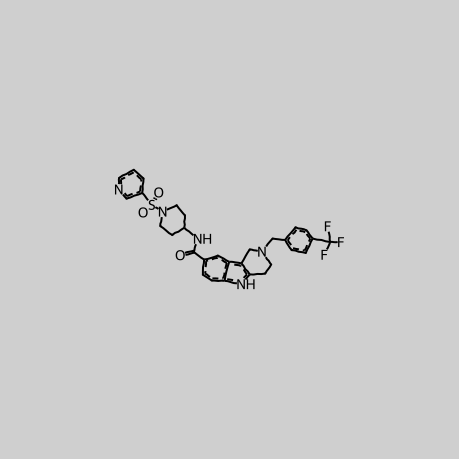 O=C(NC1CCN(S(=O)(=O)c2cccnc2)CC1)c1ccc2[nH]c3c(c2c1)CN(Cc1ccc(C(F)(F)F)cc1)CC3